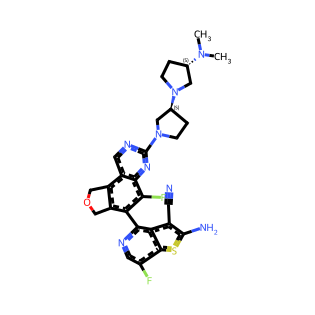 CN(C)[C@H]1CCN([C@H]2CCN(c3ncc4c5c(c(-c6ncc(F)c7sc(N)c(C#N)c67)c(F)c4n3)COC5)C2)C1